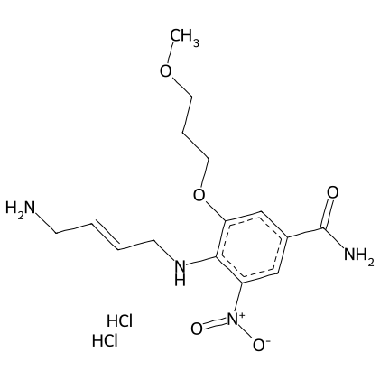 COCCCOc1cc(C(N)=O)cc([N+](=O)[O-])c1NCC=CCN.Cl.Cl